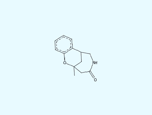 CC12CC(=O)NCC(C1)c1ccccc1O2